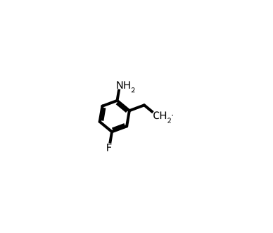 [CH2]Cc1cc(F)ccc1N